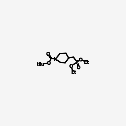 CCOP(=O)(CC1CCN(C(=O)OC(C)(C)C)CC1)OCC